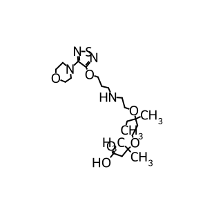 CCC(C)(CCOC(C)(C)CC(=O)O)OCCNCCCOc1nsnc1N1CCOCC1